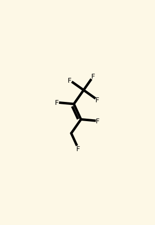 FC/C(F)=C(\F)C(F)(F)F